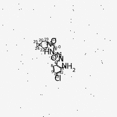 C[C@H](Nc1nnc(-c2ccc(Cl)cc2N)o1)C(=O)N1CCC2(CC1)CC2